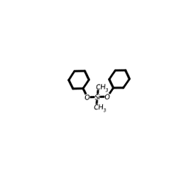 C[Si](C)(OC1CCCCC1)OC1CCCCC1